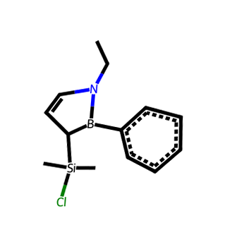 CCN1C=CC([Si](C)(C)Cl)B1c1ccccc1